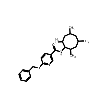 CC1CC(C)CC(C)C(NC(=O)c2ccc(OCc3ccccc3)nc2)C(C)C1